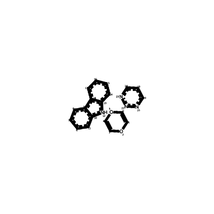 C1=COC=CO1.c1ccc2c(c1)[nH]c1ccccc12.c1cnnnc1